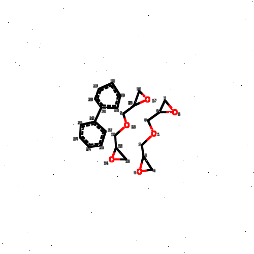 C(OCC1CO1)C1CO1.C(OCC1CO1)C1CO1.c1ccc(-c2ccccc2)cc1